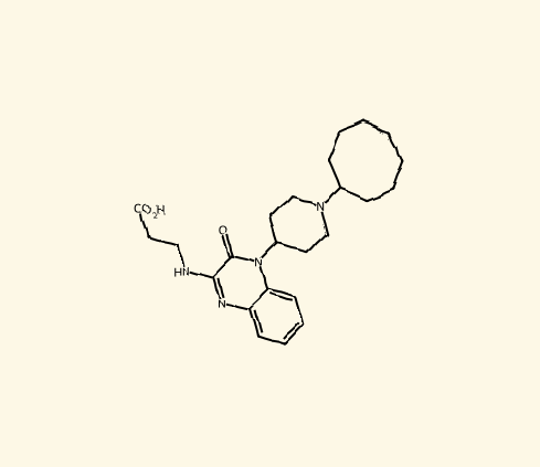 O=C(O)CCNc1nc2ccccc2n(C2CCN(C3CCCCCCC3)CC2)c1=O